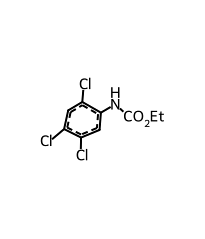 CCOC(=O)Nc1cc(Cl)c(Cl)cc1Cl